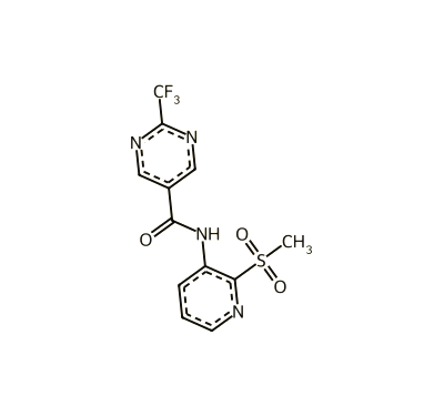 CS(=O)(=O)c1ncccc1NC(=O)c1cnc(C(F)(F)F)nc1